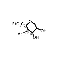 CCOC(=O)[C@@H]1OCC(O)[C@@H](O)[C@H]1OC(C)=O